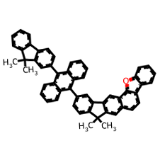 CC1(C)c2ccccc2-c2ccc(-c3c4ccccc4c(-c4ccc5c(c4)-c4cc6c(ccc7c8ccccc8oc67)cc4C5(C)C)c4ccccc34)cc21